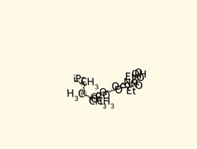 CCc1c2c(nc3ccc(OC(=O)CCCCC(=O)Oc4cc(C)c5c(c4)CC[C@@](C)(CCC[C@H](C)CCC[C@H](C)CCCC(C)C)O5)cc13)-c1cc3c(c(=O)n1C2)COC(=O)[C@]3(O)CC